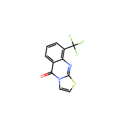 O=c1c2cccc(C(F)(F)F)c2nc2sccn12